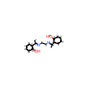 C/C(=N\CC/N=C(\C)c1ccccc1O)c1ccccc1O